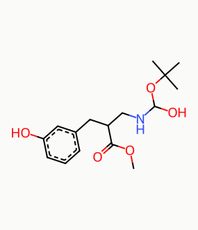 COC(=O)C(CNC(O)OC(C)(C)C)Cc1cccc(O)c1